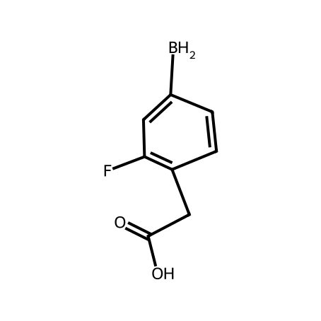 Bc1ccc(CC(=O)O)c(F)c1